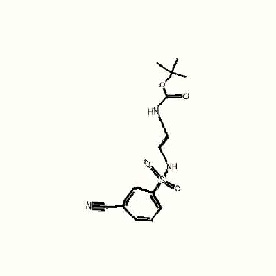 CC(C)(C)OC(=O)NCCNS(=O)(=O)c1cccc(C#N)c1